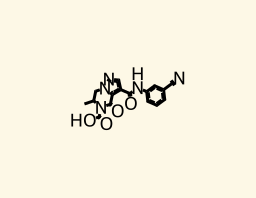 CC1Cn2ncc(C(=O)Nc3cccc(C#N)c3)c2C(=O)N1C(=O)O